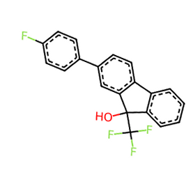 OC1(C(F)(F)F)c2ccccc2-c2ccc(-c3ccc(F)cc3)cc21